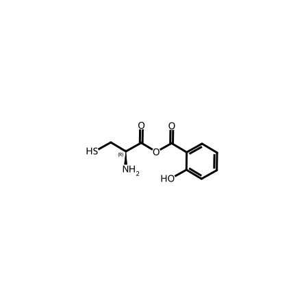 N[C@@H](CS)C(=O)OC(=O)c1ccccc1O